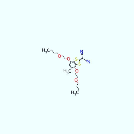 CCCCOCCOc1cc(C)c(OCCOCCCC)c2c1SC(=C(C#N)C#N)S2